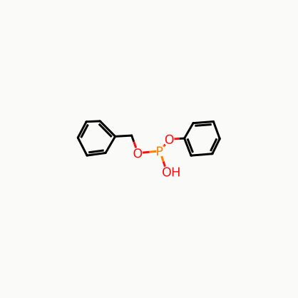 OP(OCc1ccccc1)Oc1ccccc1